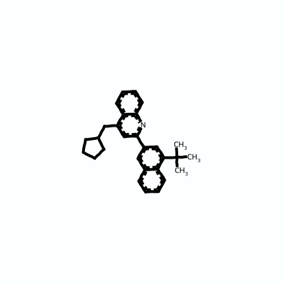 CC(C)(C)c1cc(-c2cc(CC3CCCC3)c3ccccc3n2)cc2ccccc12